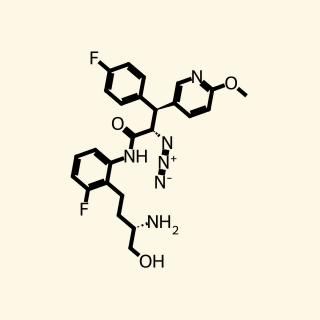 COc1ccc([C@H](c2ccc(F)cc2)[C@H](N=[N+]=[N-])C(=O)Nc2cccc(F)c2CC[C@H](N)CO)cn1